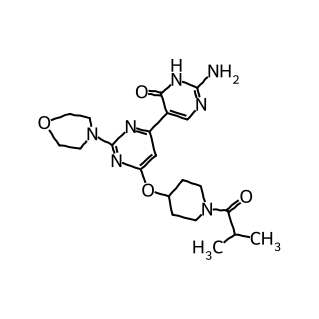 CC(C)C(=O)N1CCC(Oc2cc(-c3cnc(N)[nH]c3=O)nc(N3CCOCC3)n2)CC1